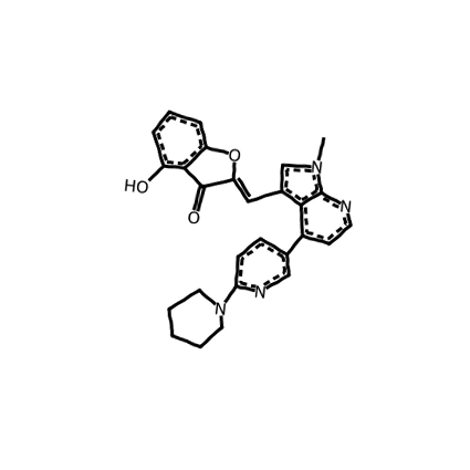 Cn1cc(/C=C2\Oc3cccc(O)c3C2=O)c2c(-c3ccc(N4CCCCC4)nc3)ccnc21